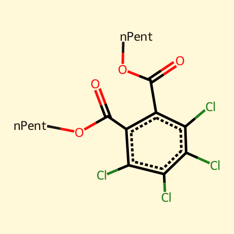 CCCCCOC(=O)c1c(Cl)c(Cl)c(Cl)c(Cl)c1C(=O)OCCCCC